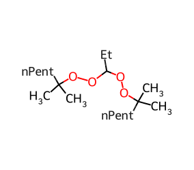 CCCCCC(C)(C)OOC(CC)OOC(C)(C)CCCCC